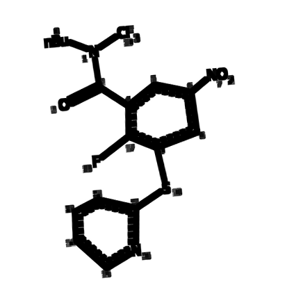 CCCCN(C(=O)c1cc([N+](=O)[O-])cc(Sc2ccccn2)c1F)C(F)(F)F